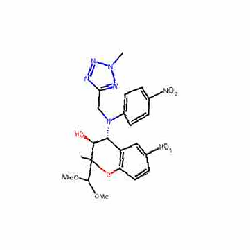 COC(OC)C1(C)Oc2ccc([N+](=O)[O-])cc2[C@@H](N(Cc2nnn(C)n2)c2ccc([N+](=O)[O-])cc2)[C@@H]1O